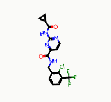 O=C(NCc1cccc(C(F)(F)F)c1Cl)c1ccnc(NC(=O)C2CC2)n1